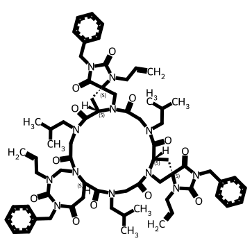 C=CCN1CN2C(=O)CN(CC(C)C)C(=O)[C@@H]3C[C@]4(CN3C(=O)CN(CC(C)C)C(=O)[C@@H]3C[C@]5(CN3C(=O)CN(CC(C)C)C(=O)[C@@H]2CC(=O)N(Cc2ccccc2)C1=O)C(=O)N(Cc1ccccc1)C(=O)N5CC=C)C(=O)N(Cc1ccccc1)C(=O)N4CC=C